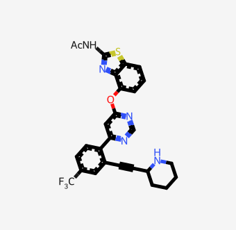 CC(=O)Nc1nc2c(Oc3cc(-c4ccc(C(F)(F)F)cc4C#CC4CCCCN4)ncn3)cccc2s1